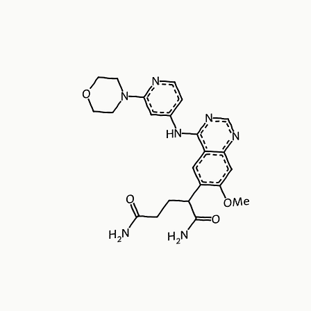 COc1cc2ncnc(Nc3ccnc(N4CCOCC4)c3)c2cc1C(CCC(N)=O)C(N)=O